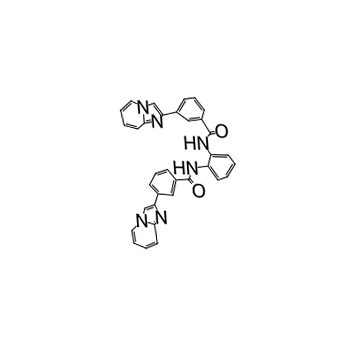 O=C(Nc1ccccc1NC(=O)c1cccc(-c2cn3ccccc3n2)c1)c1cccc(-c2cn3ccccc3n2)c1